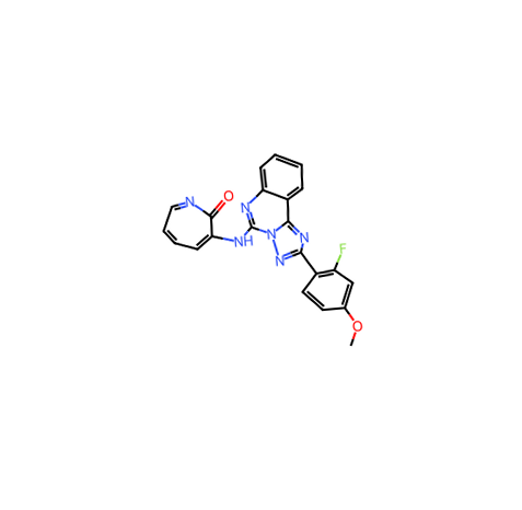 COc1ccc(-c2nc3c4ccccc4nc(Nc4ccccnc4=O)n3n2)c(F)c1